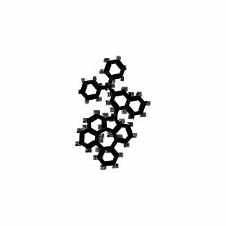 c1ccc(N(c2ccccc2)c2cc(-n3c4cccc5c4c4c6c(cccc6ccc43)-c3ccccc3-5)c3ccccc3c2)cc1